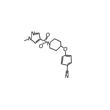 Cn1cc(S(=O)(=O)N2CCC(Oc3ccc(C#N)cc3)CC2)cn1